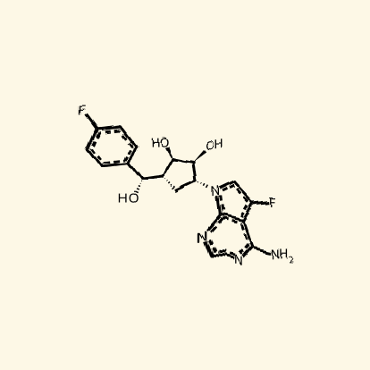 Nc1ncnc2c1c(F)cn2[C@@H]1C[C@H]([C@H](O)c2ccc(F)cc2)[C@@H](O)[C@H]1O